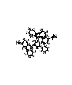 N#Cc1cccc(-c2ccccc2-c2cc(-n3c4c(c5ccccc53)CCC=N4)cc(-n3c4ccccc4c4cc(C#N)ccc43)c2)c1